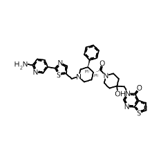 Nc1ccc(-c2ncc(CN3CC[C@@H](C(=O)N4CCC(O)(Cn5cnc6sccc6c5=O)CC4)[C@H](c4ccccc4)C3)s2)cn1